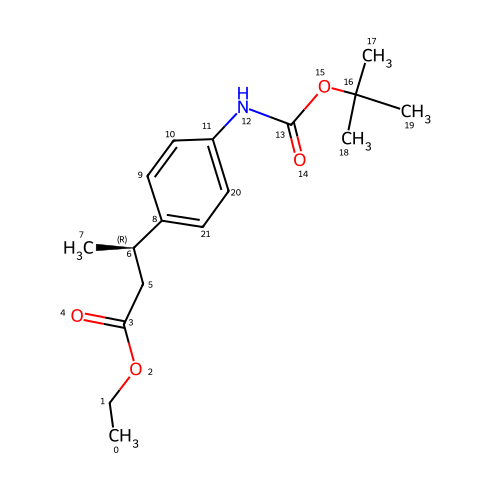 CCOC(=O)C[C@@H](C)c1ccc(NC(=O)OC(C)(C)C)cc1